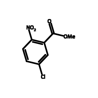 COC(=O)c1cc(Cl)ccc1[N+](=O)[O-]